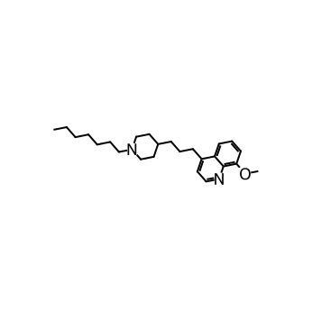 CCCCCCCN1CCC(CCCc2ccnc3c(OC)cccc23)CC1